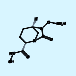 O=C(NO)[C@@H]1CC[C@@H]2CN1C(=O)N2OS(=O)(=O)O